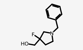 OCC1(F)CCN(Cc2ccccc2)C1